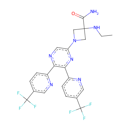 CCNC1(C(N)=O)CN(c2cnc(-c3ccc(C(F)(F)F)cn3)c(-c3ccc(C(F)(F)F)cn3)n2)C1